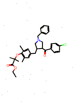 CCOC(=O)C(C)(C)Oc1c(C)cc(CC2CN(Cc3ccccc3)CC2C(=O)c2ccc(Cl)cc2)cc1C